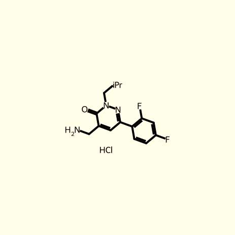 CC(C)Cn1nc(-c2ccc(F)cc2F)cc(CN)c1=O.Cl